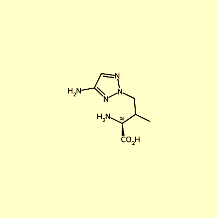 CC(Cn1ncc(N)n1)[C@H](N)C(=O)O